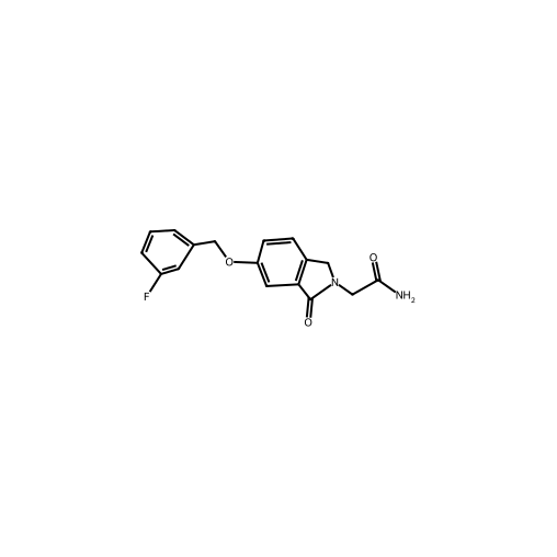 NC(=O)CN1Cc2ccc(OCc3cccc(F)c3)cc2C1=O